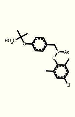 CC(=O)N(Cc1ccc(OC(C)(C)C(=O)O)cc1)Oc1c(C)cc(Cl)cc1C